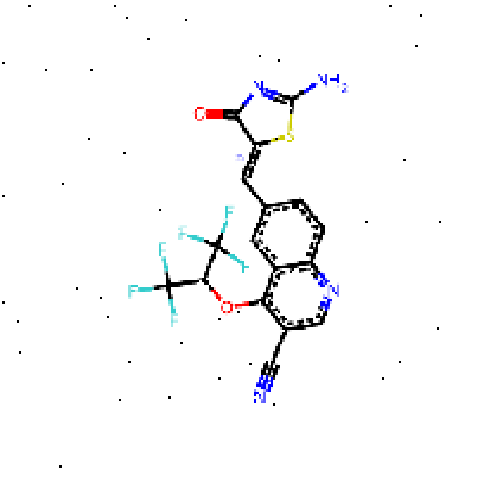 N#Cc1cnc2ccc(/C=C3\SC(N)=NC3=O)cc2c1OC(C(F)(F)F)C(F)(F)F